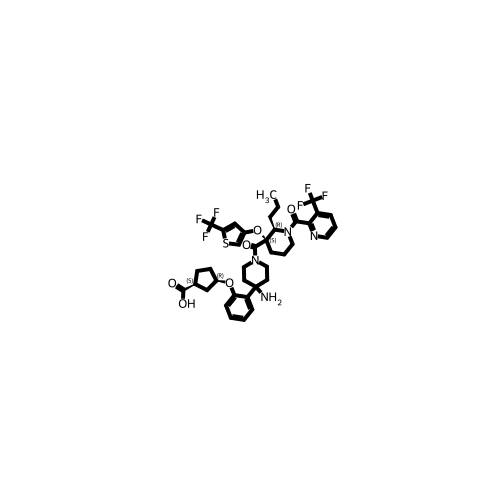 CCC[C@H]1N(C(=O)c2ncccc2C(F)(F)F)CCC[C@@]1(Oc1csc(C(F)(F)F)c1)C(=O)N1CCC(N)(c2ccccc2O[C@@H]2CC[C@H](C(=O)O)C2)CC1